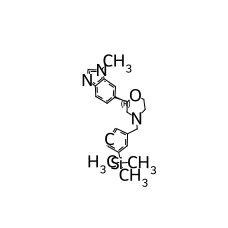 Cn1cnc2ccc([C@@H]3CN(Cc4cccc([Si](C)(C)C)c4)CCO3)cc21